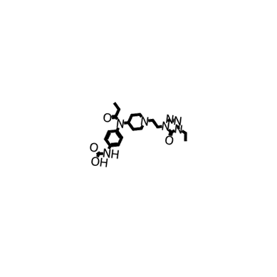 CCC(=O)N(c1ccc(NC(=O)O)cc1)C1CCN(CCn2nnn(CC)c2=O)CC1